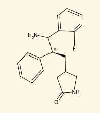 NC(c1ccccc1F)[C@@H](CC1CNC(=O)C1)c1ccccc1